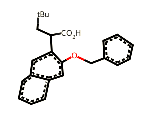 CC(C)(C)CC(C(=O)O)c1cc2ccccc2cc1OCc1ccccc1